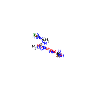 C=CC(=O)Nc1ccc(CCn2c(C#N)cc3c(C)c(CN4CCC(Nc5ncnc6sc(CC(F)(F)F)cc56)CC4)ccc32)cc1OC/C(N)=C/N(N)CCOCCOCCOCCNC(=O)CCCC[C@H]1SC[C@H]2NC(=O)N[C@H]21